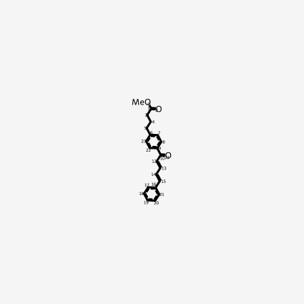 COC(=O)CCCc1ccc(C(=O)C=CC=Cc2ccccc2)cc1